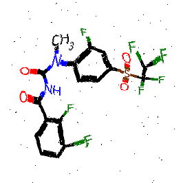 CN(C(=O)NC(=O)c1cccc(F)c1F)c1ccc(S(=O)(=O)C(F)(F)C(F)F)cc1F